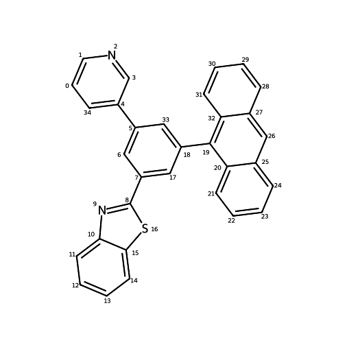 c1cncc(-c2cc(-c3nc4ccccc4s3)cc(-c3c4ccccc4cc4ccccc34)c2)c1